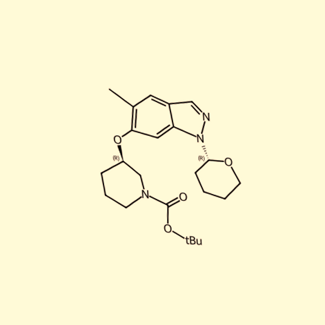 Cc1cc2cnn([C@H]3CCCCO3)c2cc1O[C@@H]1CCCN(C(=O)OC(C)(C)C)C1